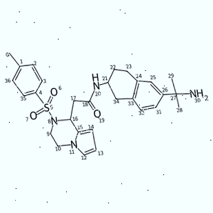 Cc1ccc(S(=O)(=O)N2CCn3cccc3C2CC(=O)NC2CCc3cc(C(C)(C)N)ccc3C2)cc1